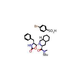 CN(C(=O)[C@@H]1CC2CCCC[C@@H]2CN1[C@@H]1OC(=O)N[C@H]1Cc1ccccc1)C(C)(C)C.O=S(=O)(O)c1ccc(Br)cc1